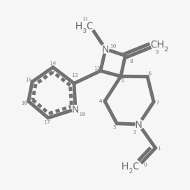 C=CN1CCC2(CC1)C(=C)N(C)C2c1ccccn1